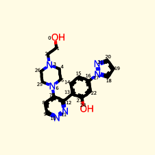 OCCN1CCN(c2ccnnc2-c2ccc(-n3cccn3)cc2O)CC1